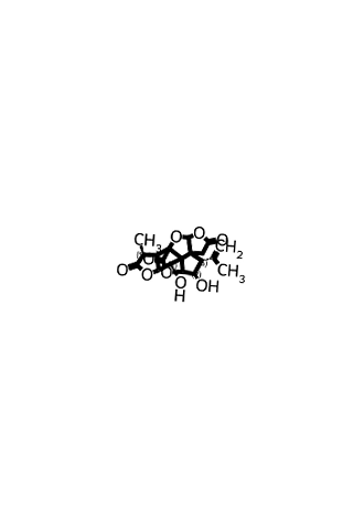 C=C(C)[C@@H]1[C@@H](O)C2OC(=O)C34OC5OC(=O)CC51C23[C@@H](O)C1OC(=O)[C@@H](C)C14